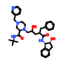 CC(C)(C)NC(=O)C1CN(Cc2cccnc2)CCN1CC(O)CC(Cc1ccccc1)C(=O)N[C@H]1c2ccccc2C[C@H]1O